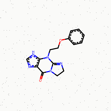 O=C1c2nc[nH]c2N(CCOc2ccccc2)C2=NCCN12